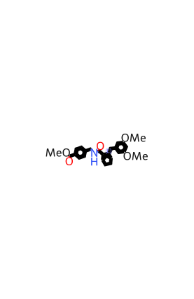 COC(=O)c1ccc(CNC(=O)C2/C(=C/c3cc(OC)cc(OC)c3)C3CCC2C3)cc1